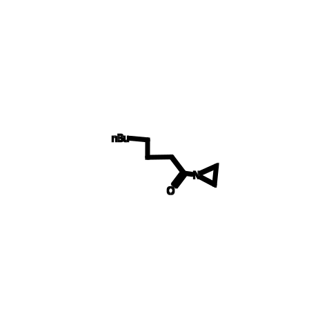 CCCCCCCC(=O)N1CC1